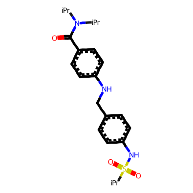 CC(C)N(C(=O)c1ccc(NCc2ccc(NS(=O)(=O)C(C)C)cc2)cc1)C(C)C